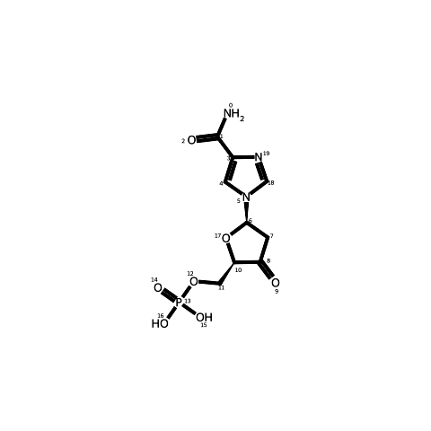 NC(=O)c1cn([C@H]2CC(=O)[C@@H](COP(=O)(O)O)O2)cn1